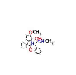 CNC[C@@H](O)[C@H](c1ccccc1)N1C(=O)C2(CCCCC2)c2ccc(OC)cc21